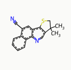 CC1(C)CSc2c1cnc1c2cc(C#N)c2ccccc21